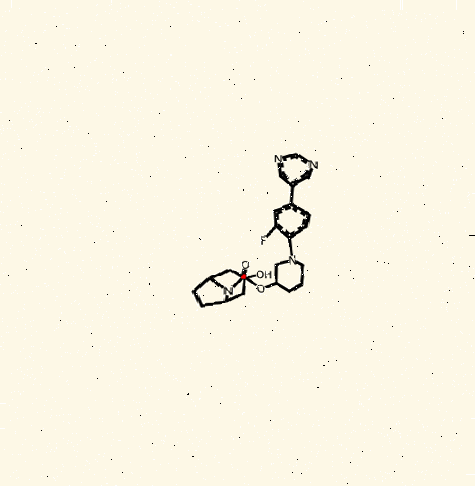 O=C(OC1CCCN(c2ccc(-c3cncnc3)cc2F)C1)N1C2CCC1CC(O)C2